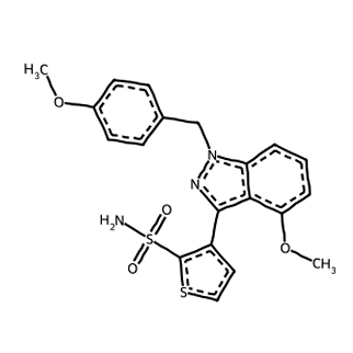 COc1ccc(Cn2nc(-c3ccsc3S(N)(=O)=O)c3c(OC)cccc32)cc1